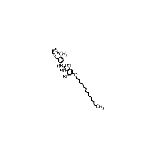 CCCCCCCCCCCCCCOc1ccc(NC(=O)Nc2cccc(C[n+]3ccsc3C)c2)c(Cl)c1.[Br-]